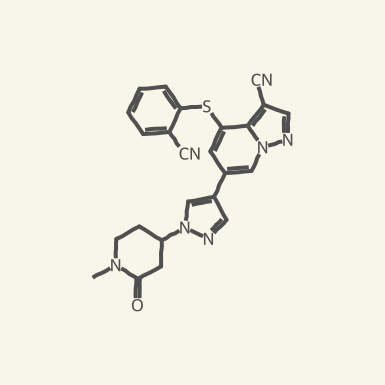 CN1CCC(n2cc(-c3cc(Sc4ccccc4C#N)c4c(C#N)cnn4c3)cn2)CC1=O